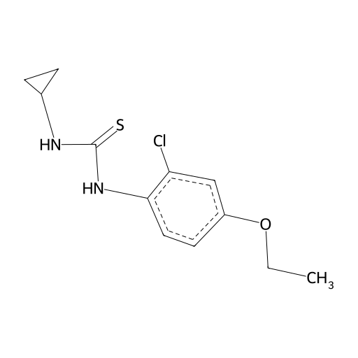 CCOc1ccc(NC(=S)NC2CC2)c(Cl)c1